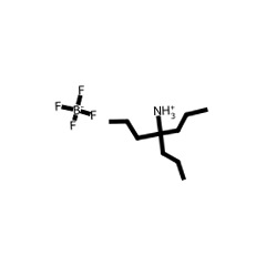 CCCC([NH3+])(CCC)CCC.F[B-](F)(F)F